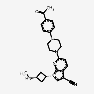 CN[C@H]1C[C@H](n2cc(C#N)c3ccc(N4CCN(c5ccc(C(C)=O)cc5)CC4)nc32)C1